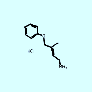 C/C(=C\CN)COc1ccccc1.Cl